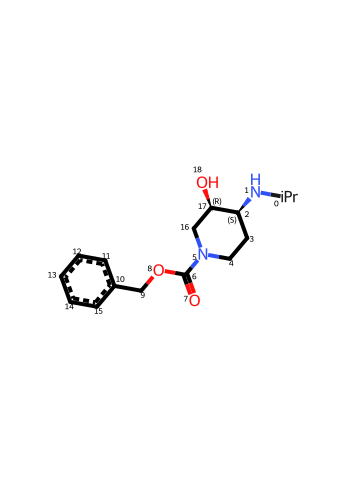 CC(C)N[C@H]1CCN(C(=O)OCc2ccccc2)C[C@H]1O